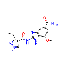 CCc1nn(C)cc1C(=O)Nc1nc2cc(C(N)=O)cc(OC)c2[nH]1